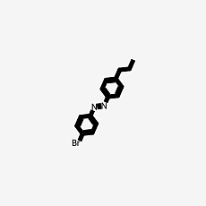 CCCc1ccc(N=Nc2ccc(Br)cc2)cc1